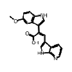 COc1ccc2[nH]cc(/C(=C/c3c[nH]c4ncccc34)C(=O)O)c2c1